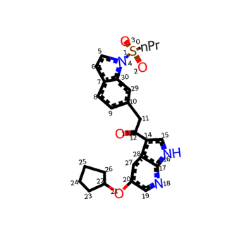 CCCS(=O)(=O)n1ccc2ccc(CC(=O)c3c[nH]c4ncc(OC5CCCC5)cc34)cc21